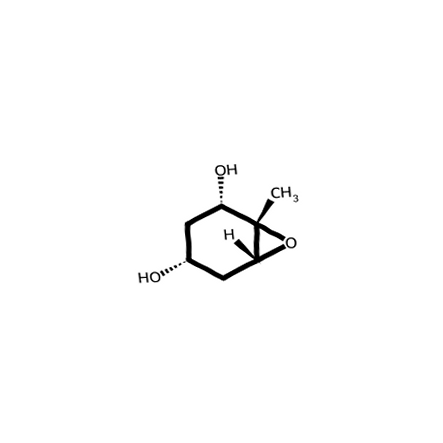 C[C@@]12O[C@@H]1C[C@H](O)C[C@@H]2O